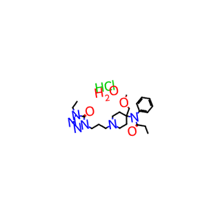 CCC(=O)N(c1ccccc1)C1(COC)CCN(CCCn2nnn(CC)c2=O)CC1.Cl.O